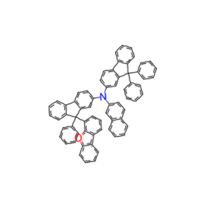 c1ccc(C2(c3ccccc3)c3ccccc3-c3ccc(N(c4ccc5c(c4)C(c4ccccc4)(c4cccc6c4oc4ccccc46)c4ccccc4-5)c4ccc5ccccc5c4)cc32)cc1